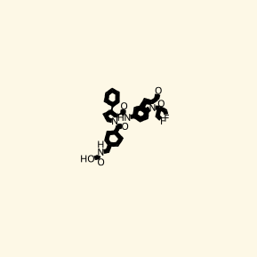 O=C(O)NCC1CCC(C(=O)N2CC[C@@H](C3CCCCC3)[C@H]2C(=O)Nc2ccc3c(c2)cc2n3C(CF)(CF)OC2=O)CC1